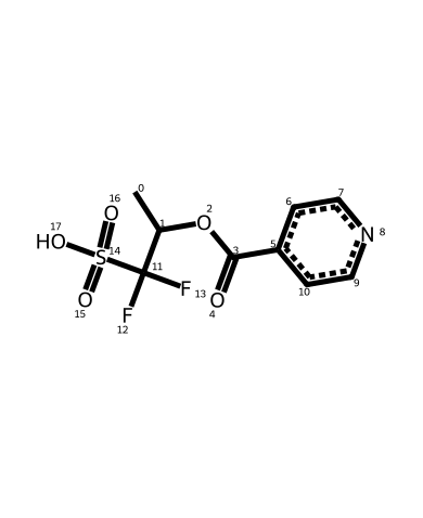 CC(OC(=O)c1ccncc1)C(F)(F)S(=O)(=O)O